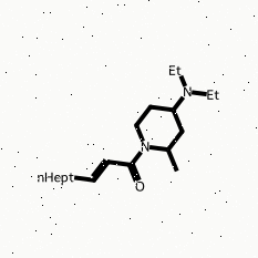 CCCCCCC/C=C/C(=O)N1CCC(N(CC)CC)CC1C